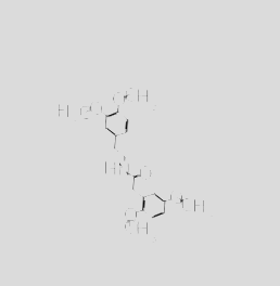 COc1ccc(OC)c(CC(=O)NCCc2ccc(OC)c(OC)c2)c1